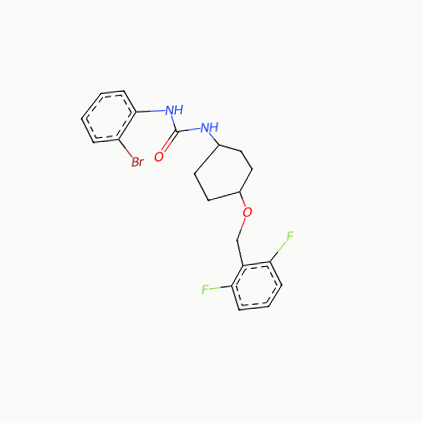 O=C(Nc1ccccc1Br)NC1CCC(OCc2c(F)cccc2F)CC1